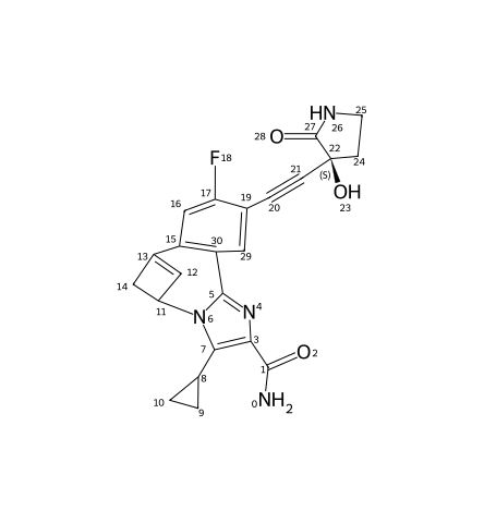 NC(=O)c1nc2n(c1C1CC1)C1C=C(C1)c1cc(F)c(C#C[C@@]3(O)CCNC3=O)cc1-2